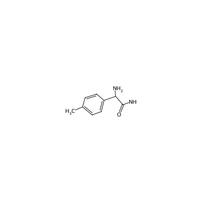 Cc1ccc(C(N)C([NH])=O)cc1